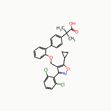 CC(C)(C(=O)O)c1ccc(-c2ccccc2OCc2c(-c3c(Cl)cccc3Cl)noc2C2CC2)cc1